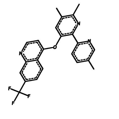 Cc1ccc(-c2nc(C)c(C)cc2Oc2ccnc3cc(C(F)(F)F)ccc23)nc1